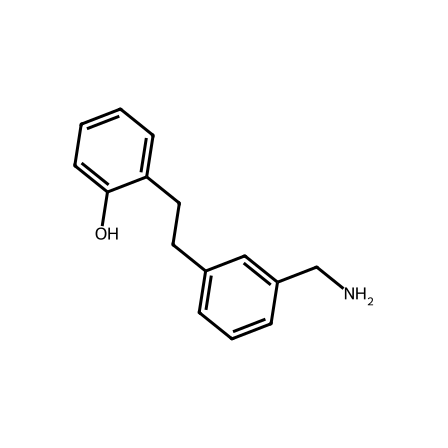 NCc1cccc(CCc2ccccc2O)c1